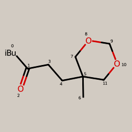 CCC(C)C(=O)CCC1(C)COCOC1